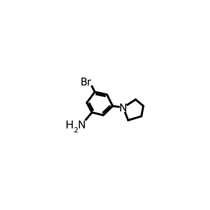 Nc1cc(Br)cc(N2CCCC2)c1